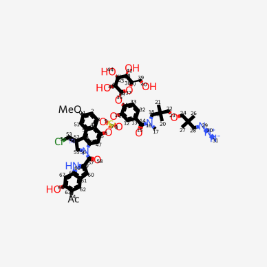 COc1ccc2c(OS(=O)(=O)Oc3cc(C(=O)N(C)CC(C)(C)COCC(C)(C)CN=[N+]=[N-])ccc3O[C@@H]3O[C@H](CO)[C@H](O)[C@H](O)C3O)cc3c(c2c1)/C(=C/Cl)CN3C(=O)c1cc2cc(C(C)=O)c(O)cc2[nH]1